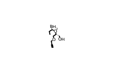 B[C@@H](CC)O[C@H](CO)COCC#C